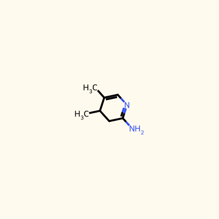 CC1=CN=C(N)CC1C